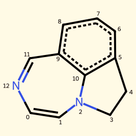 C1=CN2CCc3cccc(c32)C=N1